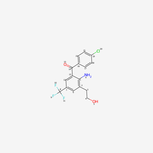 Nc1c(CCO)cc(C(F)(F)F)cc1C(=O)c1ccc(Cl)cc1